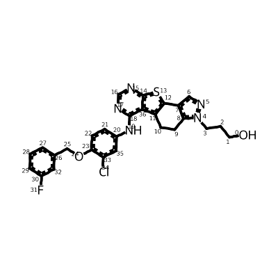 OCCCn1ncc2c1CCc1c-2sc2ncnc(Nc3ccc(OCc4cccc(F)c4)c(Cl)c3)c12